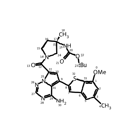 COc1cc(C)cc2cc(-c3cc(C(=O)N4CC[C@](C)(NC(=O)OC(C)(C)C)C4)n4ncnc(N)c34)sc12